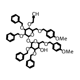 C#CCO[C@@H]1C(COCc2ccc(OC)cc2)O[C@H](O[C@H]2OC(COCc3ccc(OC)cc3)[C@@H](O)C(OCc3ccccc3)C2OCc2ccccc2)[C@@H](OCc2ccccc2)C1OCc1ccccc1